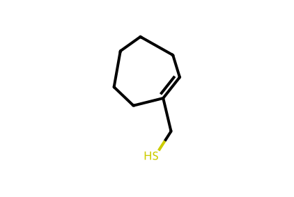 SCC1=CCCCCC1